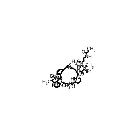 C=CC(=O)NCCN(C)C(=O)N(C)C(C(=O)N[C@H]1Cc2nc(cs2)-c2ccc3c(c2)c(c(-c2cccnc2[C@H](C)OC)n3CC)CC(C)(C)COC(=O)[C@@]2(S)CCCN(N2)C1=O)C(C)C